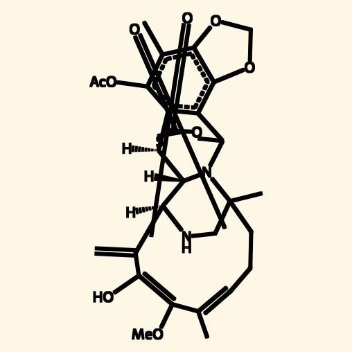 C=C1/C(O)=C(OC)\C(C)=C/CCC2(C)CN[C@@H]1[C@@H]1[C@@H]3SCC(=O)C(=O)OCC(c4c5c(c(C)c(OC(C)=O)c43)OCO5)N12